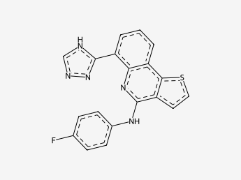 Fc1ccc(Nc2nc3c(-c4nnc[nH]4)cccc3c3sccc23)cc1